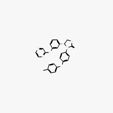 O=C1NC[C@H](c2cccc(Oc3cnccn3)c2)N1c1ccc(Oc2ccc(Cl)cc2)cc1